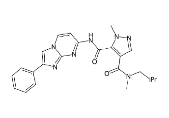 CC(C)CN(C)C(=O)c1cnn(C)c1C(=O)Nc1ccn2cc(-c3ccccc3)nc2n1